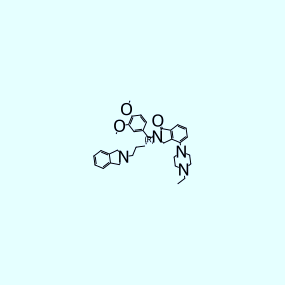 CCN1CCN(c2cccc3c2CN([C@H](CCCN2Cc4ccccc4C2)c2ccc(OC)c(OC)c2)C3=O)CC1